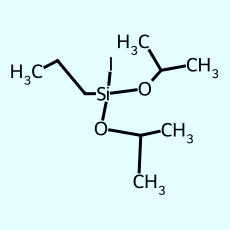 CCC[Si](I)(OC(C)C)OC(C)C